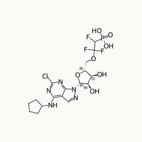 O=P(O)(O)C(F)C(F)(F)OC[C@H]1O[C@@H](n2ncc3c(NC4CCCC4)nc(Cl)nc32)[C@H](O)[C@@H]1O